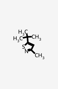 Cc1cc(C(C)(C)C)sn1